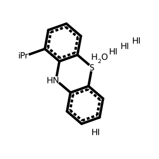 CC(C)c1cccc2c1Nc1ccccc1S2.I.I.I.I.O